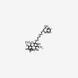 C=CCN(CCOCCOCC1=C(C(=O)OCC)[C@H](c2c(F)c(F)c(F)c(F)c2F)C(C(=O)OC)=C(C)N1)Cc1ccccc1